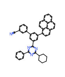 N#Cc1cccc(-c2cc(-c3nc(-c4ccccc4)nc(C4CCCCC4)n3)cc(-c3ccc4ccc5cccc6ccc3c4c56)c2)c1